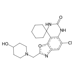 O=C1Nc2c(Cl)cc3nc(CN4CCC(O)CC4)oc3c2C2(CCCCC2)N1